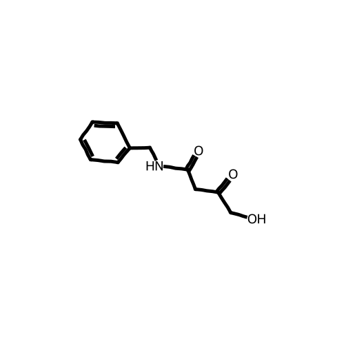 O=C(CO)CC(=O)NCc1ccccc1